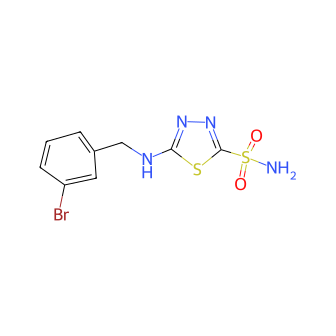 NS(=O)(=O)c1nnc(NCc2cccc(Br)c2)s1